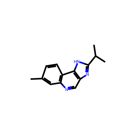 Cc1ccc2c(c1)ncc1nc(C(C)C)[nH]c12